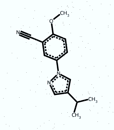 COc1ccc(-n2cc(C(C)C)cn2)cc1C#N